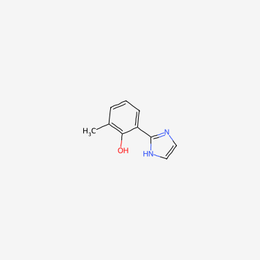 Cc1cccc(-c2ncc[nH]2)c1O